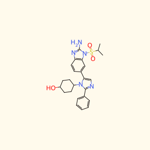 CC(C)S(=O)(=O)n1c(N)nc2ccc(-c3cnc(-c4ccccc4)n3C3CCC(O)CC3)cc21